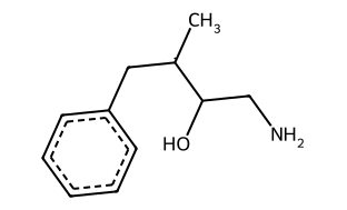 C[C](Cc1ccccc1)C(O)CN